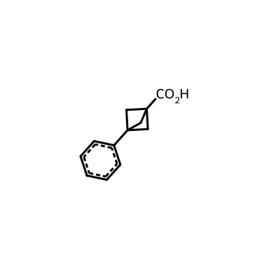 O=C(O)C12CC(c3ccccc3)(C1)C2